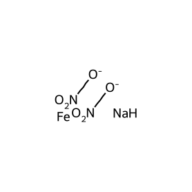 O=[N+]([O-])[O-].O=[N+]([O-])[O-].[Fe].[NaH]